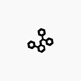 C1=CCC(=CC(c2ccccc2)c2ccccc2)C(c2ccccc2)=C1